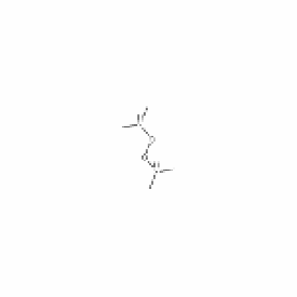 C[SH](C)OO[SH](C)C